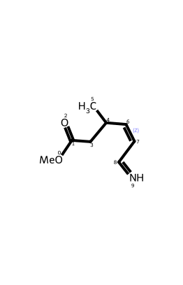 COC(=O)CC(C)/C=C\C=N